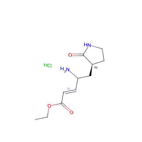 CCOC(=O)/C=C/C(N)C[C@@H]1CCNC1=O.Cl